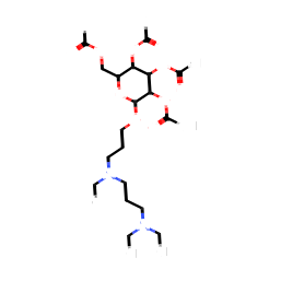 CCN(CC)CCCN(CC)CCCOC1OC(COC(C)=O)C(OC(C)=O)C(OC(C)=O)C1OC(C)=O